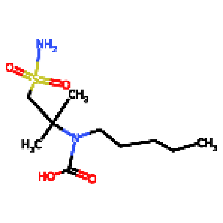 CCCCCN(C(=O)O)C(C)(C)CS(N)(=O)=O